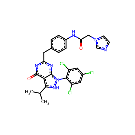 CC(C)c1[nH]n(-c2c(Cl)cc(Cl)cc2Cl)c2nc(Cc3ccc(NC(=O)Cn4ccnc4)cc3)nc(=O)c1-2